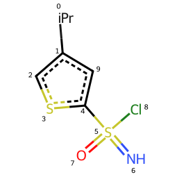 CC(C)c1csc(S(=N)(=O)Cl)c1